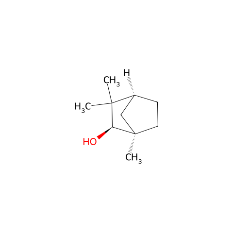 CC1(C)[C@H]2CC[C@](C)(C2)[C@H]1O